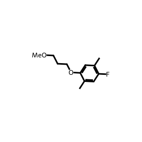 COCCCOc1cc(C)c(F)cc1C